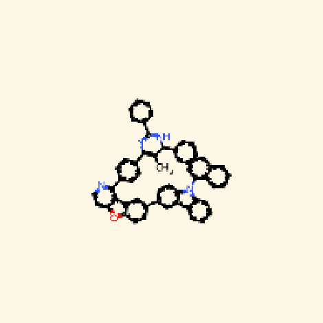 CC1=C(c2ccc(-c3nccc4oc5ccc(-c6ccc7c(c6)c6ccccc6n7-c6cccc7ccccc67)cc5c34)cc2)N=C(c2ccccc2)NC1c1ccccc1